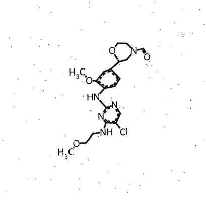 COCCNc1nc(Nc2ccc(C3CN(C=O)CCO3)cc2OC)ncc1Cl